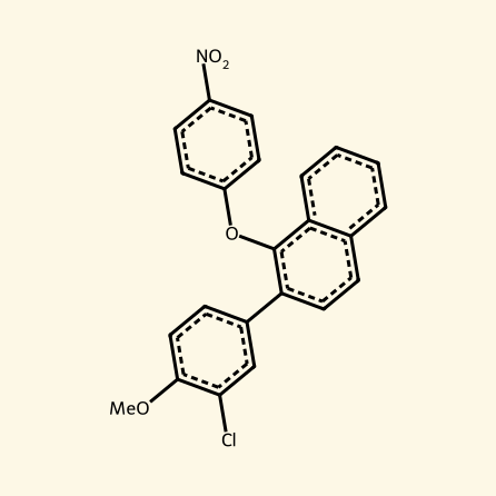 COc1ccc(-c2ccc3ccccc3c2Oc2ccc([N+](=O)[O-])cc2)cc1Cl